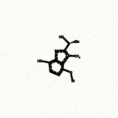 CCOc1ccc(O)c2nc([C@H](O)C(C)(C)C)n(C)c12